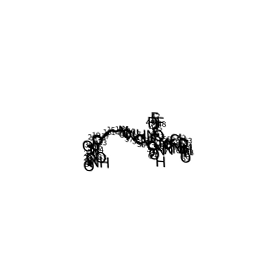 COc1cc(N2CCC(N3CCN(CCCC#Cc4ccc5c(c4)CN(C4CCC(=O)NC4=O)C5=O)CC3)CC2)c(NC(=O)C=CC(F)(F)F)cc1Nc1ncc(Cl)c(Nc2ccccc2P(C)(C)=O)n1